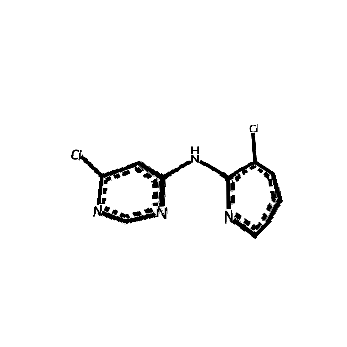 Clc1cc(Nc2ncccc2Cl)ncn1